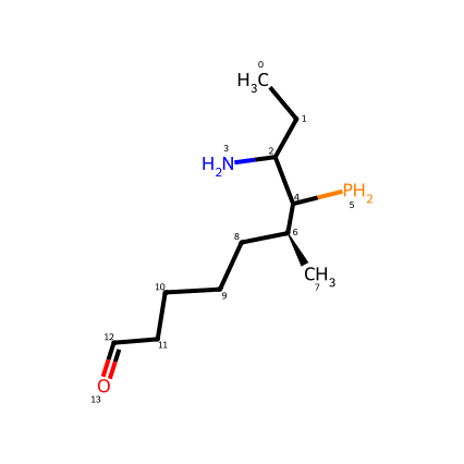 CCC(N)C(P)[C@@H](C)CCCCC=O